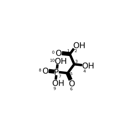 O=C(O)C(O)C(=O)P(=O)(O)O